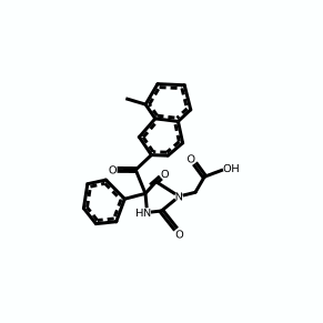 Cc1cccc2ccc(C(=O)C3(c4ccccc4)NC(=O)N(CC(=O)O)C3=O)cc12